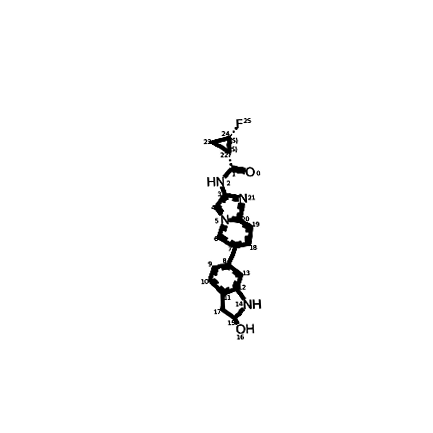 O=C(Nc1cn2cc(-c3ccc4c(c3)NC(O)C4)ccc2n1)[C@@H]1C[C@@H]1F